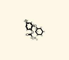 CC(=O)Oc1ccc(Br)cc1OC1CCCCC1